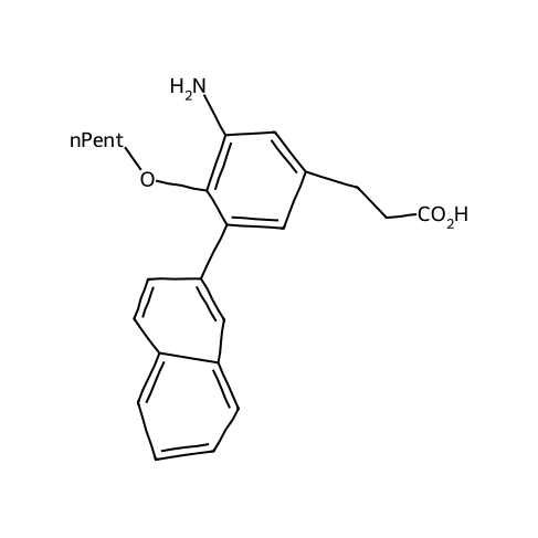 CCCCCOc1c(N)cc(CCC(=O)O)cc1-c1ccc2ccccc2c1